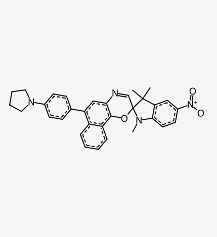 CN1c2ccc([N+](=O)[O-])cc2C(C)(C)C12C=Nc1cc(-c3ccc(N4CCCC4)cc3)c3ccccc3c1O2